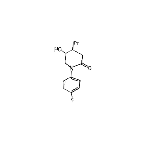 CC(C)C1CC(=O)N(c2ccc(F)cc2)CC1O